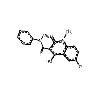 Cn1c(=O)c(C(=S)N(c2ccccc2)C(C)(C)C)c(O)c2cc(Cl)ccc21